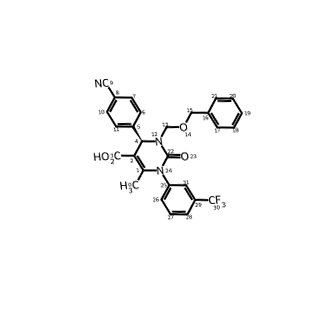 CC1=C(C(=O)O)[C@@H](c2ccc(C#N)cc2)N(COCc2ccccc2)C(=O)N1c1cccc(C(F)(F)F)c1